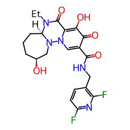 CCN1C(=O)c2c(O)c(=O)c(C(=O)NCc3ccc(F)nc3F)cn2N2C[C@@H](O)CCC[C@@H]12